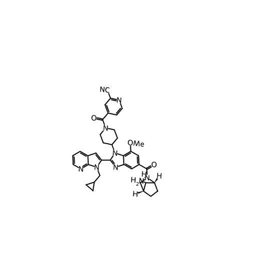 COc1cc(C(=O)N2C[C@H]3CC[C@@H]2[C@@H]3N)cc2nc(-c3cc4cccnc4n3CC3CC3)n(C3CCN(C(=O)c4ccnc(C#N)c4)CC3)c12